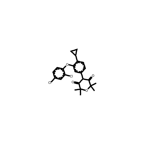 CC1(C)OC(C)(C)C(=O)C(c2ccc(C3CC3)c(Oc3ccc(Cl)cc3Cl)c2)C1=O